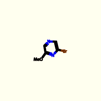 COc1cncc(Br)n1